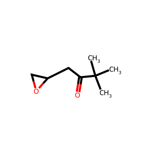 CC(C)(C)C(=O)CC1CO1